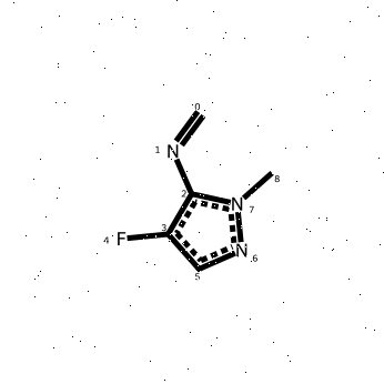 C=Nc1c(F)cnn1C